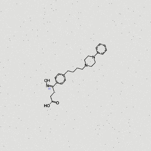 O=C(O)CC/C(=N/O)c1ccc(CCCCN2CCN(c3ccccc3)CC2)cc1